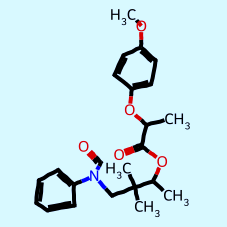 COc1ccc(OC(C)C(=O)OC(C)C(C)(C)CN(C=O)c2ccccc2)cc1